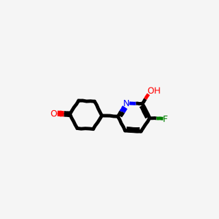 O=C1CCC(c2ccc(F)c(O)n2)CC1